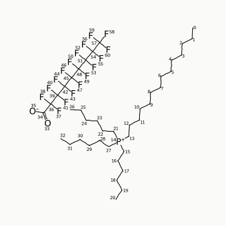 CCCCCCCCCCCCCC[P+](CCCCCC)(CCCCCC)CCCCCC.O=C([O-])C(F)(F)C(F)(F)C(F)(F)C(F)(F)C(F)(F)C(F)(F)C(F)(F)C(F)(F)F